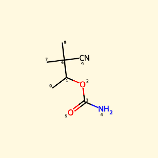 CC(OC(N)=O)C(C)(C)C#N